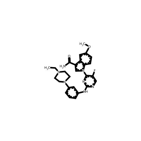 CCN1CCN(c2cccc(Nc3ncc(F)c(-n4cc(C(N)=O)c5cc(OC)ccc54)n3)c2)CC1